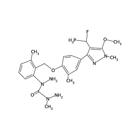 COc1c(C(F)P)c(-c2ccc(OCc3c(C)cccc3N(N)C(=O)N(C)N)c(C)c2)nn1C